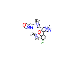 CCN(C(=O)c1cc(F)ccc1-c1cc(C2CN([C@H](CC[C@@H]3COCCN3)C(C)C)C2)cn2c(C)ncc12)C(C)C